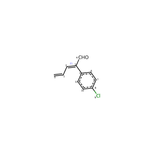 C=C/C=C(/C=O)c1ccc(Cl)cc1